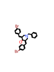 O=C1C(=Cc2ccc(Br)cc2)CN(Cc2ccccc2)CC1=Cc1ccc(Br)cc1